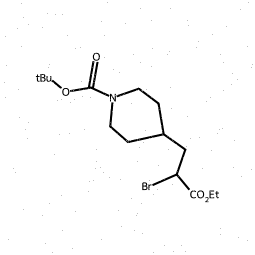 CCOC(=O)C(Br)CC1CCN(C(=O)OC(C)(C)C)CC1